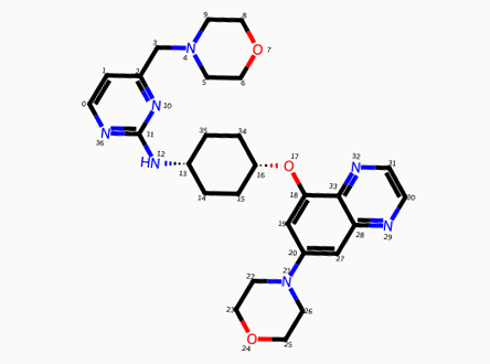 c1cc(CN2CCOCC2)nc(N[C@H]2CC[C@@H](Oc3cc(N4CCOCC4)cc4nccnc34)CC2)n1